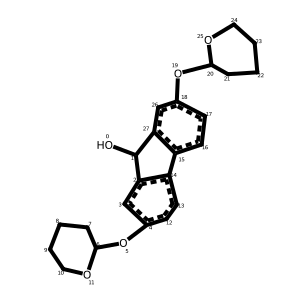 OC1c2cc(OC3CCCCO3)ccc2-c2ccc(OC3CCCCO3)cc21